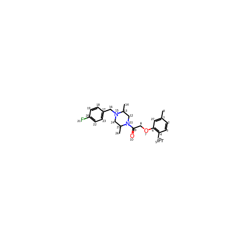 Cc1ccc(C(C)C)c(OCC(=O)N2CC(C)N(Cc3ccc(F)cc3)CC2C)c1